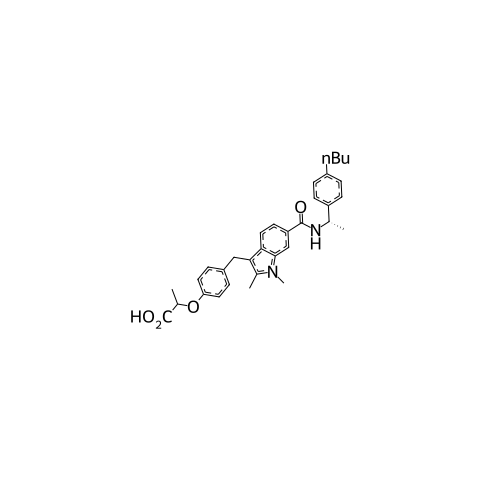 CCCCc1ccc([C@H](C)NC(=O)c2ccc3c(Cc4ccc(OC(C)C(=O)O)cc4)c(C)n(C)c3c2)cc1